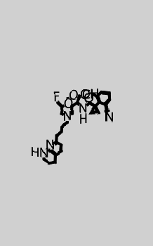 COC(CF)CN(CCCCc1ccc2c(n1)NCCC2)CCC(NC(=O)C1(c2c(Cl)cccc2C#N)CC1)C(=O)O